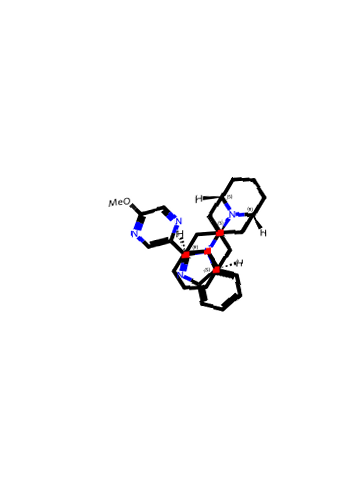 COc1cnc(-c2nc3ccccc3n2C2C[C@H]3CCC[C@@H](C2)N3[C@@H]2C[C@@H]3CCC[C@@H](C3)C2)cn1